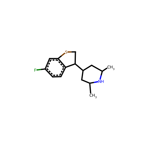 CC1CC(C2CSc3cc(F)ccc32)CC(C)N1